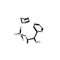 CS(=O)(=O)OC(=O)C(N)c1ccccn1.c1cc2ccc1-2